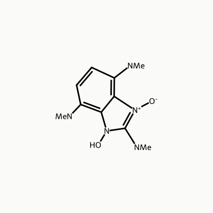 CNc1ccc(NC)c2c1n(O)c(NC)[n+]2[O-]